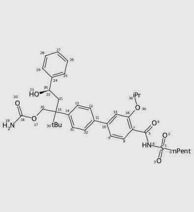 CCCCCS(=O)(=O)NC(=O)c1ccc(-c2ccc(C(COC(N)=O)(C[C@@H](O)c3ccccc3)C(C)(C)C)cc2)cc1OC(C)C